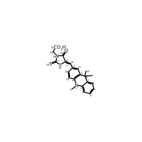 CN1c2ccccc2C(C)(C)c2cc(/C=C3\SC(=S)N(CC(=O)O)C3=O)ccc21